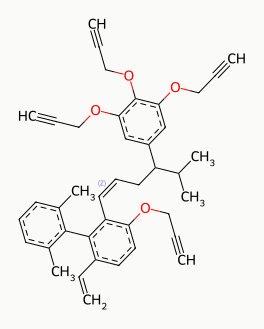 C#CCOc1ccc(C=C)c(-c2c(C)cccc2C)c1/C=C\CC(c1cc(OCC#C)c(OCC#C)c(OCC#C)c1)C(C)C